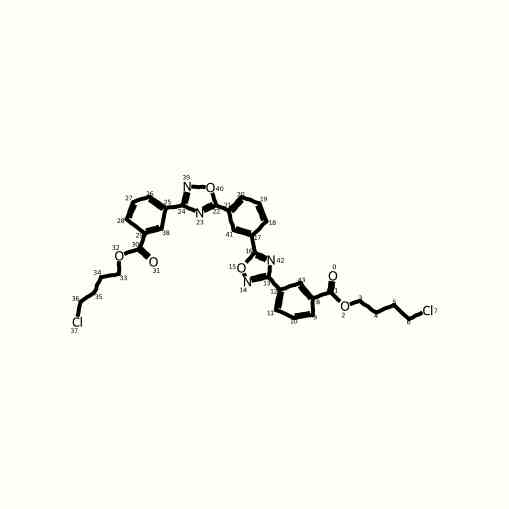 O=C(OCCCCCl)c1cccc(-c2noc(-c3cccc(-c4nc(-c5cccc(C(=O)OCCCCCl)c5)no4)c3)n2)c1